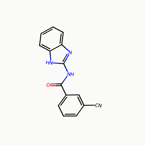 N#Cc1cccc(C(=O)Nc2nc3ccccc3[nH]2)c1